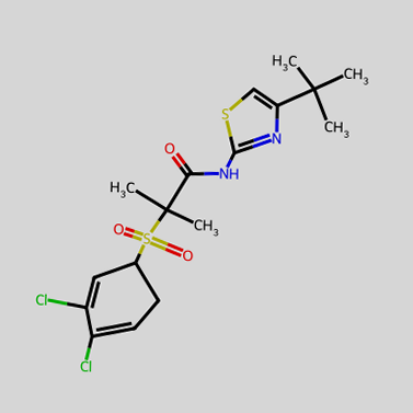 CC(C)(C)c1csc(NC(=O)C(C)(C)S(=O)(=O)C2C=C(Cl)C(Cl)=CC2)n1